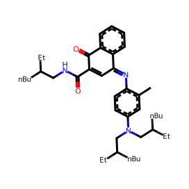 CCCCC(CC)CNC(=O)C1=CC(=Nc2ccc(N(CC(CC)CCCC)CC(CC)CCCC)cc2C)c2ccccc2C1=O